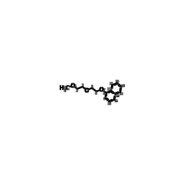 COCCOCCOc1cccc2ccccc12